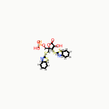 O=C1OC(CO[PH](=O)O)(CSc2nc3ccccc3s2)C(Sc2nc3ccccc3s2)=C1O